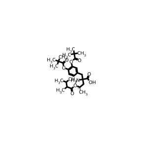 CC(C)C(C)C(=O)O[C@@H](C)CC(N)(Cc1ccc(OC(=O)C(C)(C)C)c(OC(=O)C(C)(C)C)c1)C(=O)O